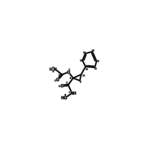 NC(=O)OC1(C(=O)NO)CC1c1ccccc1